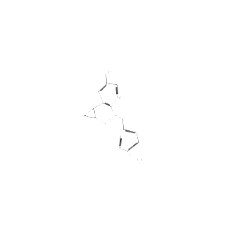 COc1ccc(CN2CC3CC3c3cc(C=O)cnc32)cc1